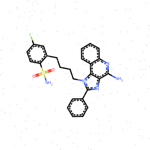 Nc1nc2ccccc2c2c1nc(-c1ccccc1)n2CCCCc1cc(F)ccc1S(N)(=O)=O